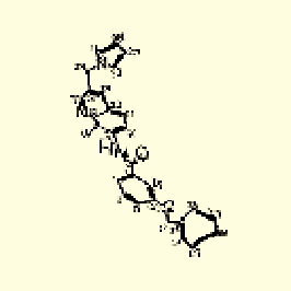 Cc1c(NC(=O)c2cccc(OCc3ccccc3)c2)ccc2cc(Cn3cccc3)cnc12